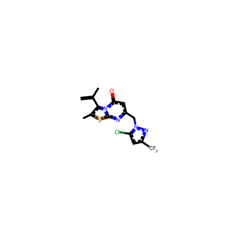 C=C(C)c1c(C)sc2nc(Cn3nc(C(F)(F)F)cc3Cl)cc(=O)n12